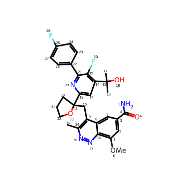 COc1cc(C(N)=O)cc2c(CC3(c4cc(C(C)(C)O)c(F)c(-c5ccc(F)cc5)n4)CCCO3)c(C)nnc12